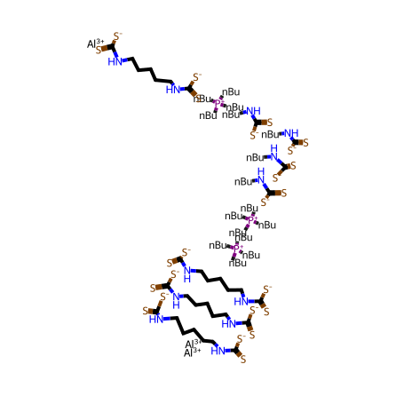 CCCCNC(=S)[S-].CCCCNC(=S)[S-].CCCCNC(=S)[S-].CCCCNC(=S)[S-].CCCC[P+](CCCC)(CCCC)CCCC.CCCC[P+](CCCC)(CCCC)CCCC.CCCC[P+](CCCC)(CCCC)CCCC.S=C([S-])NCCCCCNC(=S)[S-].S=C([S-])NCCCCCNC(=S)[S-].S=C([S-])NCCCCCNC(=S)[S-].S=C([S-])NCCCCCNC(=S)[S-].[Al+3].[Al+3].[Al+3]